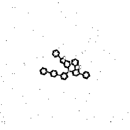 c1ccc(-c2ccc(-c3cccc(N(c4ccc5oc(-c6ccccc6)cc5c4)c4ccc(-c5ccccc5)c5oc6ccccc6c45)c3)cc2)cc1